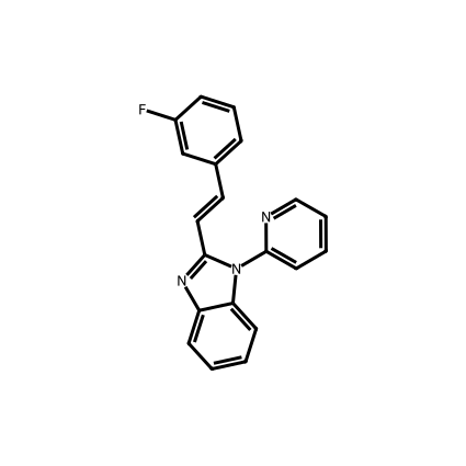 Fc1cccc(C=Cc2nc3ccccc3n2-c2ccccn2)c1